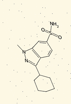 Cn1nc(C2CCCCC2)c2ccc(S(N)(=O)=O)cc21